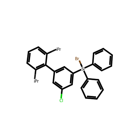 CC(C)c1cccc(C(C)C)c1-c1cc(Cl)cc([Si](Br)(c2ccccc2)c2ccccc2)c1